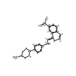 CN1CCN(c2ccc(NC=C3CN=Cc4ccc([N+](=O)[O-])cc43)cc2)CC1